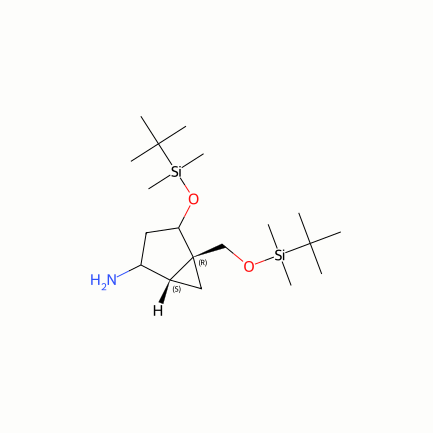 CC(C)(C)[Si](C)(C)OC[C@@]12C[C@@H]1C(N)CC2O[Si](C)(C)C(C)(C)C